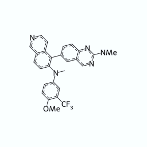 CNc1ncc2cc(-c3c(N(C)c4ccc(OC)c(C(F)(F)F)c4)ccc4cnccc34)ccc2n1